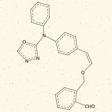 O=Cc1ccccc1CO/C=C\c1ccc(N(c2ccccc2)c2nnco2)cc1